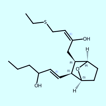 CCCC(O)/C=C/[C@H]1[C@@H](C/C(O)=C\CSCC)[C@H]2CC[C@@H]1O2